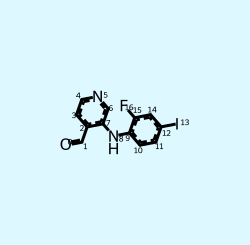 O=Cc1ccncc1Nc1ccc(I)cc1F